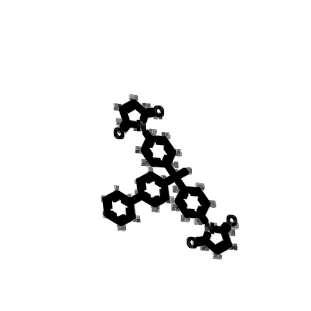 CC(c1ccc(-c2ccccc2)cc1)(c1ccc(N2C(=O)C=CC2=O)cc1)c1ccc(N2C(=O)C=CC2=O)cc1